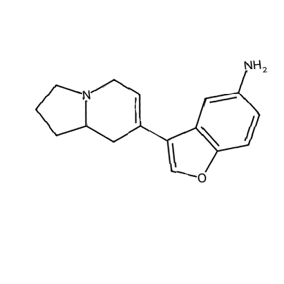 Nc1ccc2occ(C3=CCN4CCCC4C3)c2c1